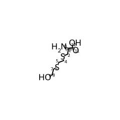 N[C@@H](CSCCSCCO)C(=O)O